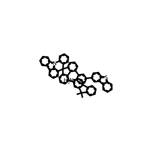 CC1(C)c2ccccc2-c2ccc(-c3cccc4c3-c3c(-c5cc(-c6ccc7sc8ccccc8c7c6)ccc5N)cccc3C43c4ccccc4-n4c5ccccc5c5cccc3c54)cc21